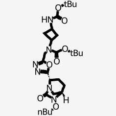 CCCCON1C(=O)N2C[C@@H]1CC[C@H]2c1nnc(CN(C(=O)OC(C)(C)C)C2CC(NC(=O)OC(C)(C)C)C2)o1